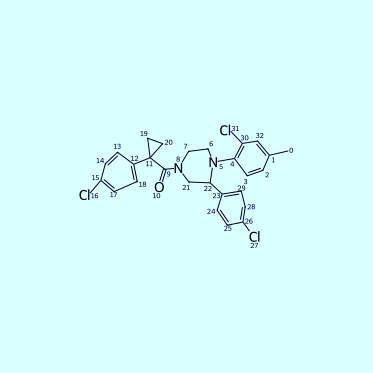 Cc1ccc(N2CCN(C(=O)C3(c4ccc(Cl)cc4)CC3)CC2c2ccc(Cl)cc2)c(Cl)c1